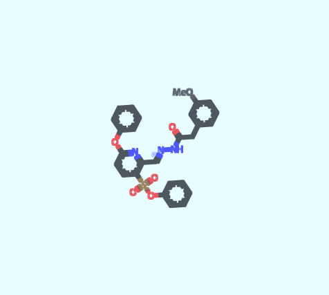 COc1cccc(CC(=O)N/N=C/c2nc(Oc3ccccc3)ccc2S(=O)(=O)Oc2ccccc2)c1